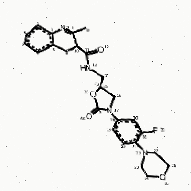 CC1=Nc2ccccc2CC1C(=O)NC[C@H]1CN(c2ccc(N3CCOCC3)c(F)c2)C(=O)O1